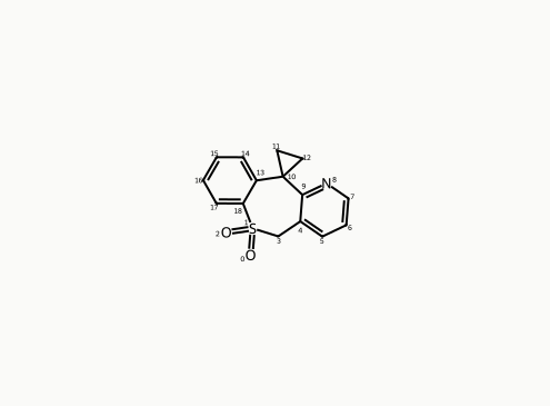 O=S1(=O)Cc2cccnc2C2(CC2)c2ccccc21